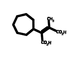 CC(C(=O)O)=C(C(=O)O)C1CCCCCC1